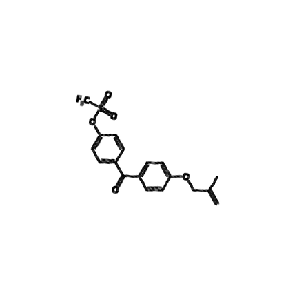 C=C(C)COc1ccc(C(=O)c2ccc(OS(=O)(=O)C(F)(F)F)cc2)cc1